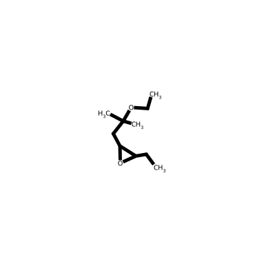 CCOC(C)(C)CC1OC1CC